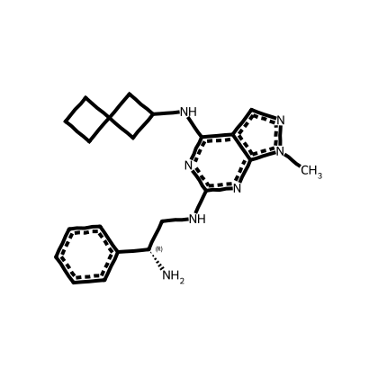 Cn1ncc2c(NC3CC4(CCC4)C3)nc(NC[C@H](N)c3ccccc3)nc21